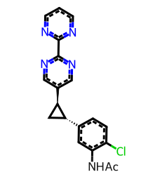 CC(=O)Nc1cc([C@@H]2C[C@H]2c2cnc(-c3ncccn3)nc2)ccc1Cl